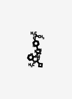 CC(C)Oc1ccc(-c2nsc(Nc3ncccc3N(C)C(=O)C3CCC3)n2)nc1